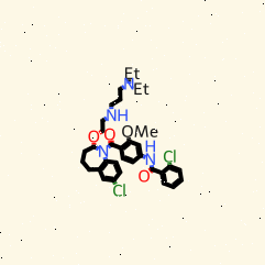 CCN(CC)CCCNCCOC1CCCc2cc(Cl)ccc2N1C(=O)c1ccc(NC(=O)c2ccccc2Cl)cc1OC